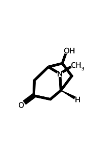 CN1C2CC(=O)C[C@H]1CC2O